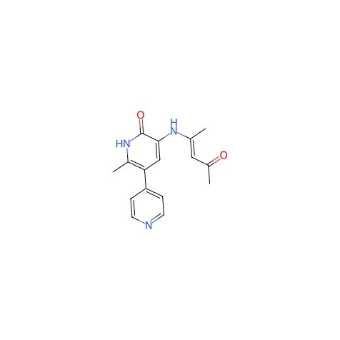 CC(=O)C=C(C)Nc1cc(-c2ccncc2)c(C)[nH]c1=O